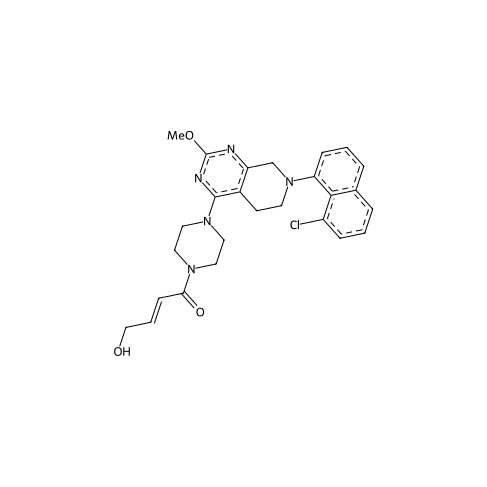 COc1nc2c(c(N3CCN(C(=O)/C=C/CO)CC3)n1)CCN(c1cccc3cccc(Cl)c13)C2